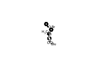 Cc1cc(N2CCN(C(=O)OC(C)(C)C)CC2)nn1-c1ccc(Br)c(OCc2ccccc2)c1